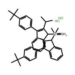 CC1=C(c2ccc(C(C)(C)C)cc2)c2ccccc2[CH]1[Zr]([CH3])([CH3])(=[SiH2])[CH]1C(C(C)C)=C(c2ccc(C(C)(C)C)cc2)c2ccccc21.Cl.Cl